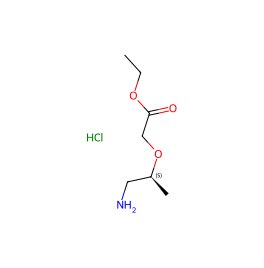 CCOC(=O)CO[C@@H](C)CN.Cl